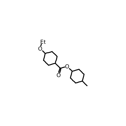 CCOC1CCC(C(=O)OC2CCC(C)CC2)CC1